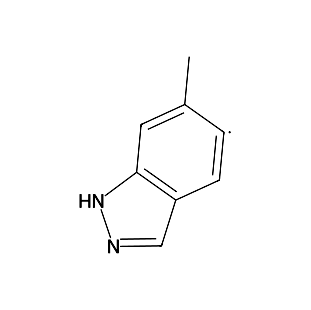 Cc1[c]cc2cn[nH]c2c1